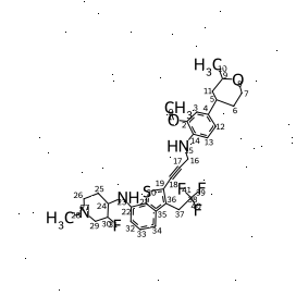 COc1cc(C2CCOC(C)C2)ccc1NCC#Cc1sc2c(NC3CCN(C)CC3F)cccc2c1CC(F)(F)F